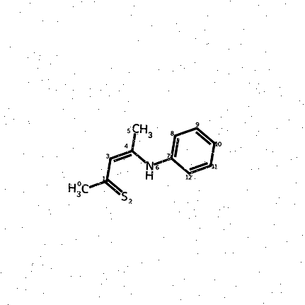 CC(=S)/C=C(/C)Nc1ccccc1